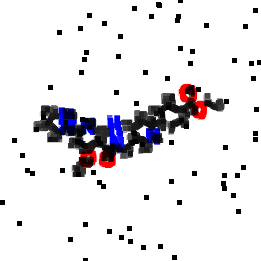 CCOC(=O)c1ccc(-c2ccc(CNC(=O)c3cnc(-n4cccn4)cc3OC)cn2)cc1